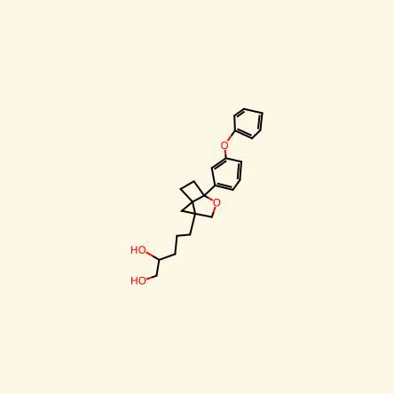 OCC(O)CCCC12COC3(c4cccc(Oc5ccccc5)c4)CCC13C2